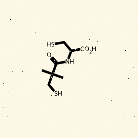 CC(C)(CS)C(=O)NC(CS)C(=O)O